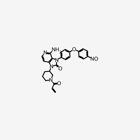 C=CC(=O)N1CCCC(n2c(=O)n(-c3ccc(Oc4ccc(N=O)cc4)cc3)c3c(N)nccc32)C1